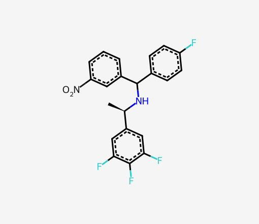 C[C@@H](NC(c1ccc(F)cc1)c1cccc([N+](=O)[O-])c1)c1cc(F)c(F)c(F)c1